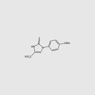 CCOC(=O)c1cn(-c2ccc(OC)cc2)c(=S)[nH]1